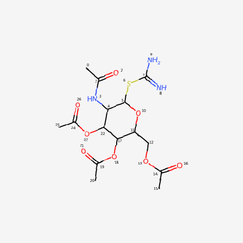 CC(=O)NC1C(SC(=N)N)OC(COC(C)=O)C(OC(C)=O)C1OC(C)=O